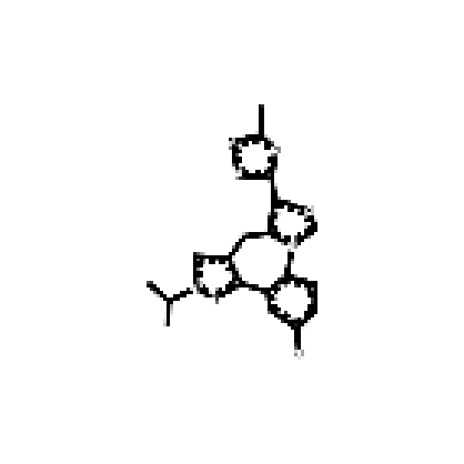 Cc1noc(-c2ncn3c2Cc2cn(C(C)C)nc2-c2cc(Cl)ccc2-3)n1